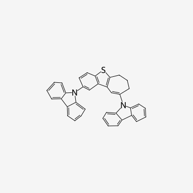 C1=C(n2c3ccccc3c3ccccc32)CCCc2sc3ccc(-n4c5ccccc5c5ccccc54)cc3c21